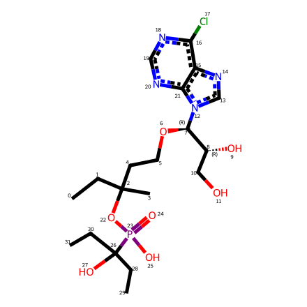 CCC(C)(CCO[C@H]([C@H](O)CO)n1cnc2c(Cl)ncnc21)OP(=O)(O)C(O)(CC)CC